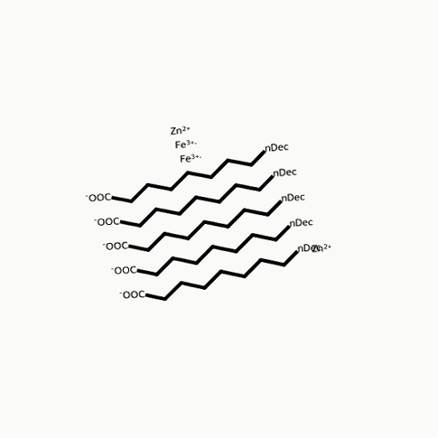 CCCCCCCCCCCCCCCCCC(=O)[O-].CCCCCCCCCCCCCCCCCC(=O)[O-].CCCCCCCCCCCCCCCCCC(=O)[O-].CCCCCCCCCCCCCCCCCC(=O)[O-].CCCCCCCCCCCCCCCCCC(=O)[O-].[Fe+3].[Fe+3].[Zn+2].[Zn+2]